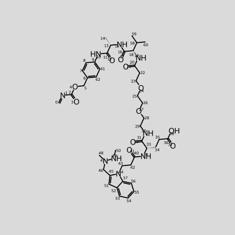 C=NC(=O)OCc1ccc(NC(=O)[C@H](C)NC(=O)[C@@H](NC(=O)CCOCCOCCNC(=O)[C@H](CCC(=O)O)NC(=O)CCn2c(CN(C)NC)cc3ccccc32)C(C)C)cc1